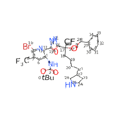 CC(C)(C)OC(=O)Nc1cc(C(F)(F)F)c(Br)nc1-c1nnc(C(CCCCC2CCNC2)(OCc2ccccc2)C(F)(F)F)o1